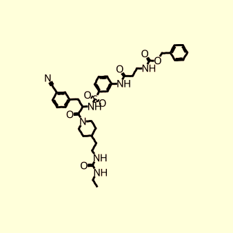 CCNC(=O)NCCC1CCN(C(=O)C(Cc2cccc(C#N)c2)NS(=O)(=O)c2cccc(NC(=O)CCNC(=O)OCc3ccccc3)c2)CC1